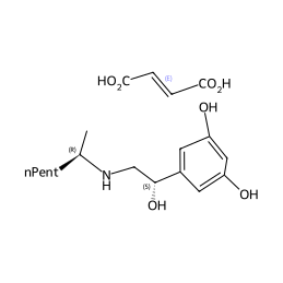 CCCCC[C@@H](C)NC[C@@H](O)c1cc(O)cc(O)c1.O=C(O)/C=C/C(=O)O